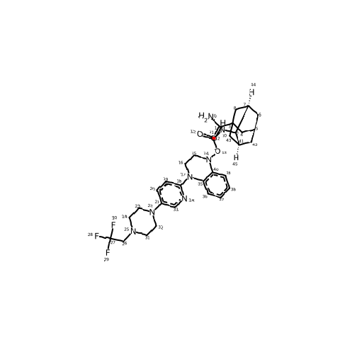 NC(=O)C12CC3C[C@H](C1)C(NC(=O)ON1CCN(c4ccc(N5CCN(CC(F)(F)F)CC5)cn4)c4ccccc41)[C@@H](C3)C2